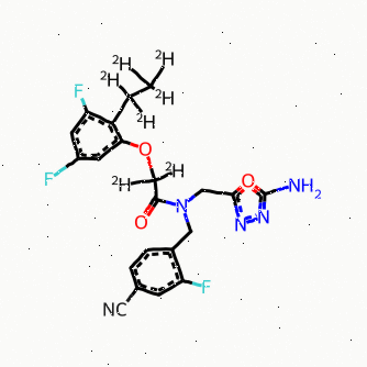 [2H]C([2H])(Oc1cc(F)cc(F)c1C([2H])([2H])C([2H])([2H])[2H])C(=O)N(Cc1nnc(N)o1)Cc1ccc(C#N)cc1F